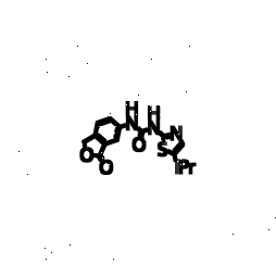 CC(C)c1cnc(NC(=O)Nc2ccc3c(c2)C(=O)OC3)s1